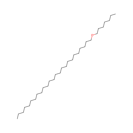 CCCCCCCCCCCCCCCCCCCCCCCCCOCCCCCCC